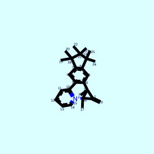 C=C1C2(C)c3cc4c(cc3-c3cccc[n+]3C12C)C(C)(C)C(C)(C)C4(C)C